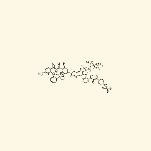 Cc1ccc(NC(=O)Nc2ccc(C(C)Cc3ccc(Oc4ncccc4NC(=O)Nc4ccc(OC(F)(F)F)cc4)c(C4(C(F)(F)F)CCN4CC(C)(C)C)c3)cc2F)c(Oc2ccccc2C2(C(F)(F)F)CCO2)n1